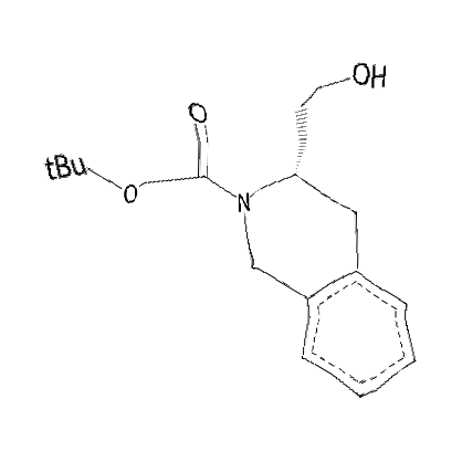 CC(C)(C)OC(=O)N1Cc2ccccc2C[C@H]1CO